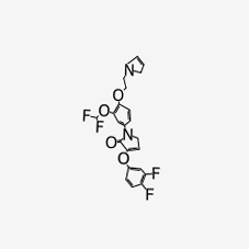 O=C1C(Oc2ccc(F)c(F)c2)=CCN1c1ccc(OCCN2CC=CC2)c(OC(F)F)c1